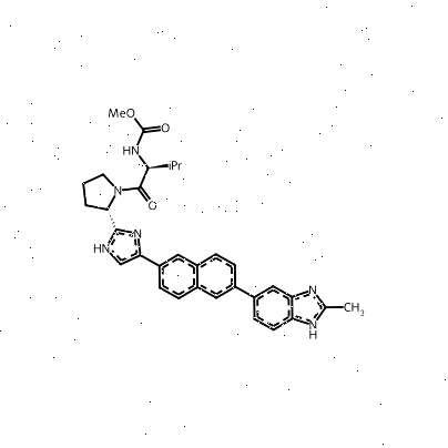 COC(=O)N[C@H](C(=O)N1CCC[C@H]1c1nc(-c2ccc3cc(-c4ccc5[nH]c(C)nc5c4)ccc3c2)c[nH]1)C(C)C